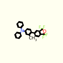 Cc1cc(N(c2ccccc2)c2ccccc2)ccc1-c1ccc2c(c1)C(F)(F)OC2(F)F